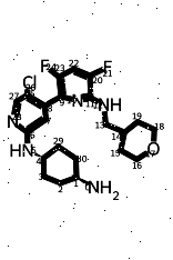 N[C@H]1CC[C@H](Nc2cc(-c3nc(NCC4CCOCC4)c(F)cc3F)c(Cl)cn2)CC1